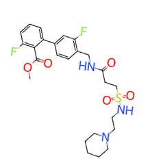 COC(=O)c1c(F)cccc1-c1ccc(CNC(=O)CCS(=O)(=O)NCCN2CCCCC2)c(F)c1